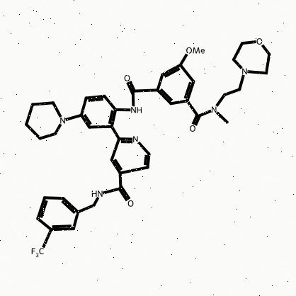 COc1cc(C(=O)Nc2ccc(N3CCCCC3)cc2-c2cc(C(=O)NCc3cccc(C(F)(F)F)c3)ccn2)cc(C(=O)N(C)CCN2CCOCC2)c1